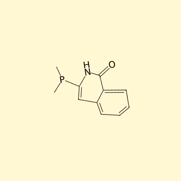 CP(C)c1cc2ccccc2c(=O)[nH]1